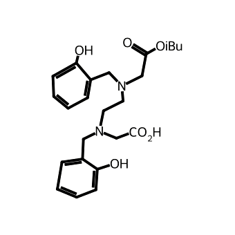 CC(C)COC(=O)CN(CCN(CC(=O)O)Cc1ccccc1O)Cc1ccccc1O